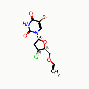 C=COC[C@H]1O[C@@H](n2cc(Br)c(=O)[nH]c2=O)C[C@@H]1Cl